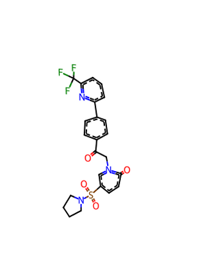 O=C(Cn1cc(S(=O)(=O)N2CCCC2)ccc1=O)c1ccc(-c2cccc(C(F)(F)F)n2)cc1